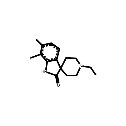 CCN1CCC2(CC1)C(=O)Nc1c2ccc(C)c1I